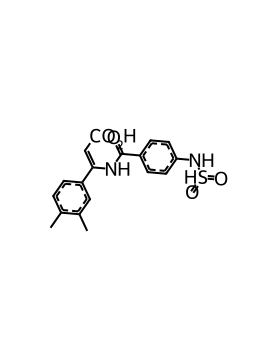 Cc1ccc(/C(=C/C(=O)O)NC(=O)c2ccc(N[SH](=O)=O)cc2)cc1C